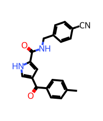 Cc1ccc(C(=O)c2c[nH]c(C(=O)NCc3ccc(C#N)cc3)c2)cc1